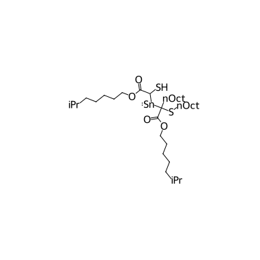 CCCCCCCCS[C](CCCCCCCC)([Sn][CH](S)C(=O)OCCCCCC(C)C)C(=O)OCCCCCC(C)C